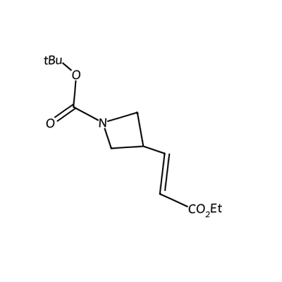 CCOC(=O)/C=C/C1CN(C(=O)OC(C)(C)C)C1